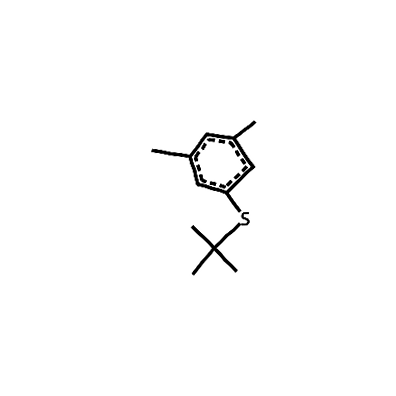 Cc1cc(C)cc(SC(C)(C)C)c1